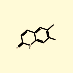 O=c1ccc2cc(I)c(F)cc2[nH]1